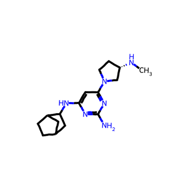 CN[C@H]1CCN(c2cc(NC3CC4CCC3C4)nc(N)n2)C1